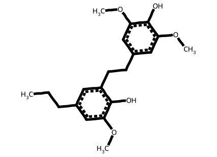 CCCc1cc(CCc2cc(OC)c(O)c(OC)c2)c(O)c(OC)c1